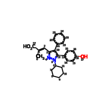 CC(=Cc1nn(C2CCCCC2)c(-c2ccc(O)cc2)c1-c1ccccc1)C(=O)O